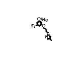 COc1cc(OCCCCn2cc(C)cn2)cc(C(C)C)c1